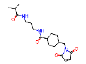 CC(C)C(=O)NCCCNC(=O)C1CCC(CN2C(=O)C=CC2=O)CC1